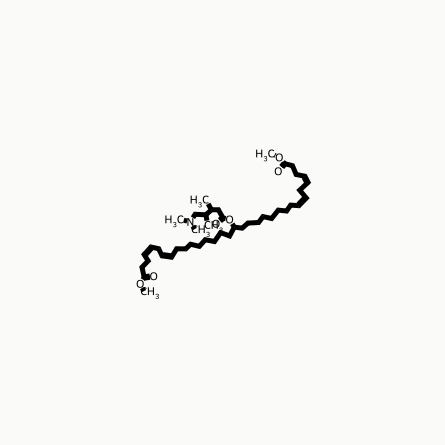 COC(=O)CC/C=C\C/C=C\CCCCCCCCC(CCCCCCCC/C=C\C/C=C\CCC(=O)OC)OC(=O)CC(C)C(C)CN(C)C